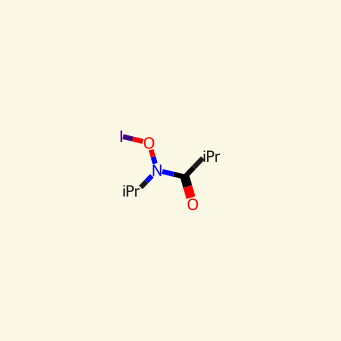 CC(C)C(=O)N(OI)C(C)C